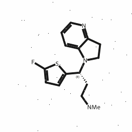 CNCC[C@H](c1ccc(F)s1)N1CCc2ncccc21